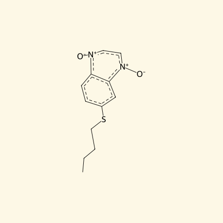 CCCCSc1ccc2c(c1)[n+]([O-])cc[n+]2[O-]